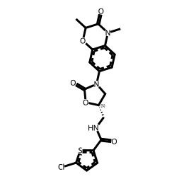 CC1Oc2cc(N3C[C@H](CNC(=O)c4ccc(Cl)s4)OC3=O)ccc2N(C)C1=O